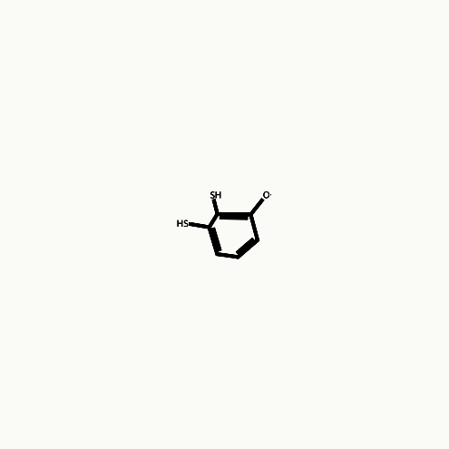 [O]c1cccc(S)c1S